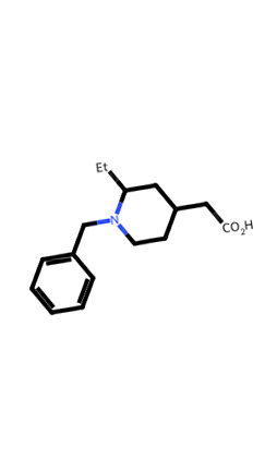 CCC1CC(CC(=O)O)CCN1Cc1ccccc1